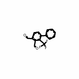 O=Cc1ccc(-c2ccccc2)c(C(F)(F)F)c1C=O